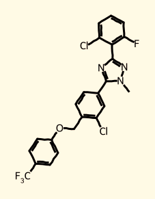 Cn1nc(-c2c(F)cccc2Cl)nc1-c1ccc(COc2ccc(C(F)(F)F)cc2)c(Cl)c1